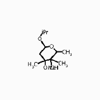 COC1(C)CC(OC(C)C)OC(C)C1(C)O